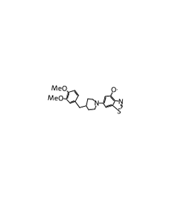 COc1ccc(CC2CCN(c3cc([O])c4ncsc4c3)CC2)cc1OC